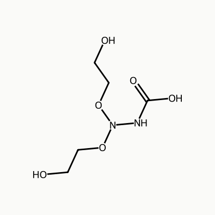 O=C(O)NN(OCCO)OCCO